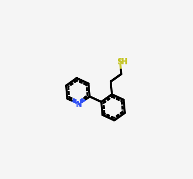 SCCc1ccccc1-c1ccccn1